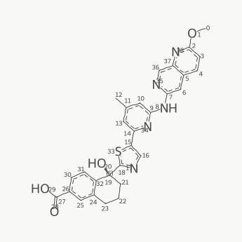 COc1ccc2cc(Nc3cc(C)cc(-c4cnc([C@]5(O)CCCc6cc(C(=O)O)ccc65)s4)n3)ncc2n1